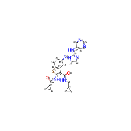 O=C(NCC1CC1)c1c(NC(=O)C2CC2)sc2c1C/C(=N\n1ccnc1Nc1cncnc1)CC2